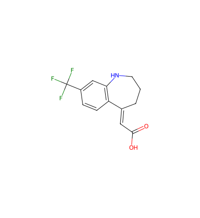 O=C(O)C=C1CCCNc2cc(C(F)(F)F)ccc21